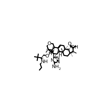 CCCN[C@H](CO[C@H]1[C@H](n2nnc(N)n2)C[C@@]23COC[C@]1(C)[C@@H]2CC[C@H]1C3=CC[C@@]2(C)[C@H](C(=O)O)[C@@](C)([C@H](C)C(C)C)CC[C@]12C)C(C)(C)C